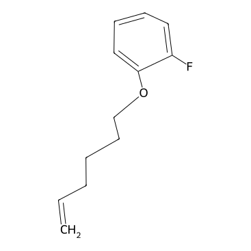 C=CCCCCOc1ccccc1F